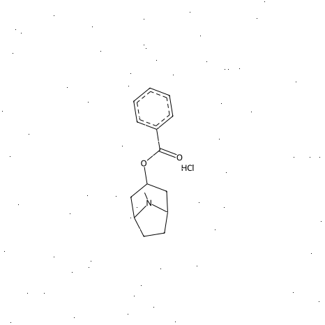 CN1C2CCC1CC(OC(=O)c1ccccc1)C2.Cl